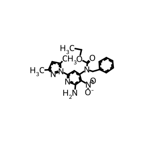 CCOC(=O)N(Cc1ccccc1)c1cc(-n2nc(C)cc2C)nc(N)c1[N+](=O)[O-]